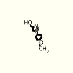 CCOc1ccc(-n2cc(CO)nn2)cc1